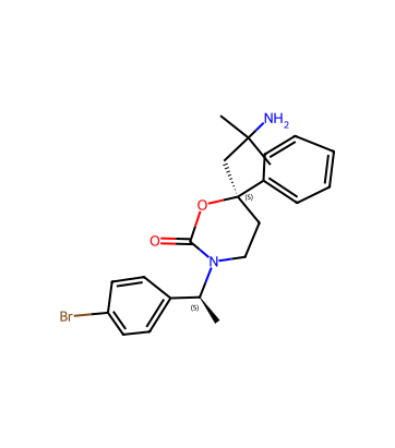 C[C@@H](c1ccc(Br)cc1)N1CC[C@](CC(C)(C)N)(c2ccccc2)OC1=O